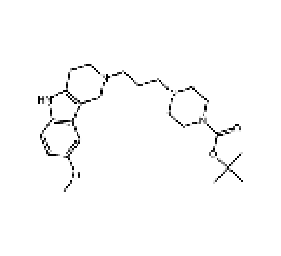 COc1ccc2[nH]c3c(c2c1)CN(CCCN1CCN(C(=O)OC(C)(C)C)CC1)CC3